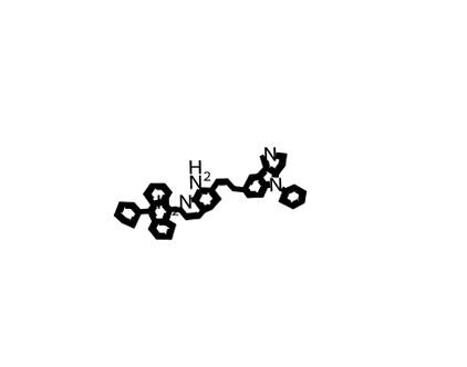 Nc1c(/C=C\Cc2ccc3c(c2)c2cnccc2n3-c2ccccc2)ccc(/C=C\Cc2c3ccccc3c(-c3ccccc3)c3ccccc23)c1N